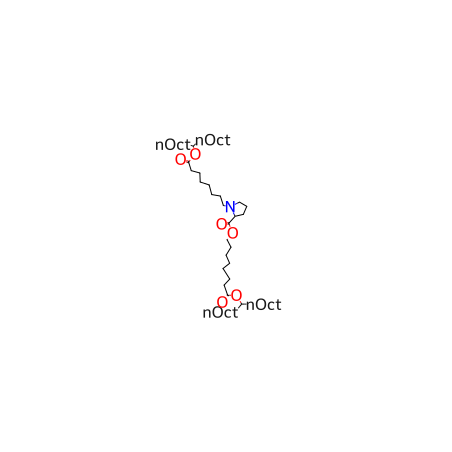 CCCCCCCCC(CCCCCCCC)OC(=O)CCCCCCCOC(=O)C1CCCN1CCCCCCCC(=O)OC(CCCCCCCC)CCCCCCCC